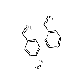 C=Cc1ccccc1.C=Cc1ccccc1.Cl.P